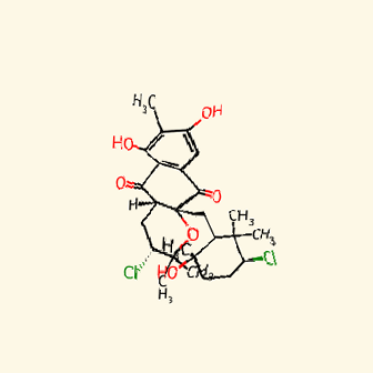 Cc1c(O)cc2c(c1O)C(=O)[C@H]1C[C@@H](Cl)C(C)(C)O[C@@]1(CC1C(C)(C)[C@@H](Cl)CC[C@]1(C)O)C2=O